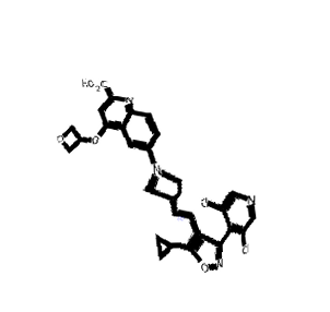 O=C(O)c1cc(OC2COC2)c2cc(N3CC(/C=C/c4c(-c5c(Cl)cncc5Cl)noc4C4CC4)C3)ccc2n1